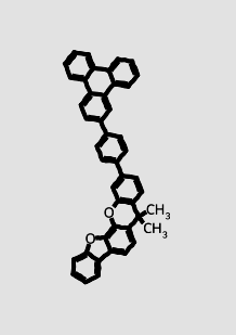 CC1(C)c2ccc(-c3ccc(-c4ccc5c6ccccc6c6ccccc6c5c4)cc3)cc2Oc2c1ccc1c2oc2ccccc21